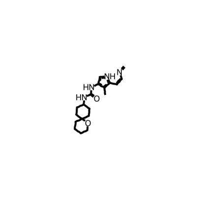 C=N/C=C\c1[nH]cc(NC(=O)NC2CCC3(CCCCO3)CC2)c1C